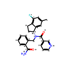 Cc1cc(F)c2c(c1)[C@H](N(Cc1ccccc1C(N)=O)C(=O)c1cccnc1)CC2